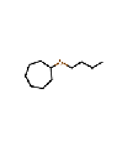 CCCCSC1CCCCCC1